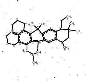 CCN1c2cc3c(cc2C(C)CC1(C)C)C(NN(C)C)=c1cc2c4c(c1C3(C)C)CCC[N+]=4CCC2